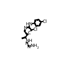 C=C(N/N=N\N)c1cnc(Nc2ccc(Cl)cc2)c(Cl)c1